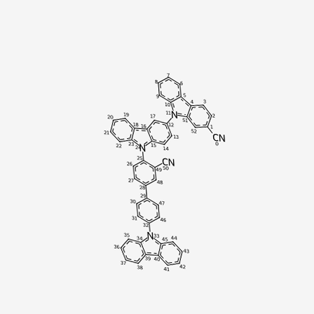 N#Cc1ccc2c3ccccc3n(-c3ccc4c(c3)c3ccccc3n4-c3ccc(-c4ccc(-n5c6ccccc6c6ccccc65)cc4)cc3C#N)c2c1